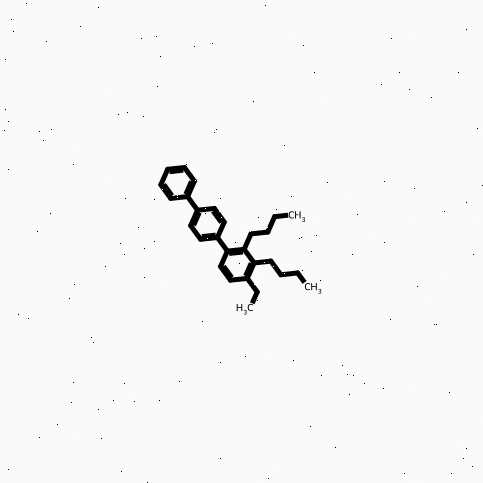 CCCCc1c(CC)ccc(-c2ccc(-c3ccccc3)cc2)c1CCCC